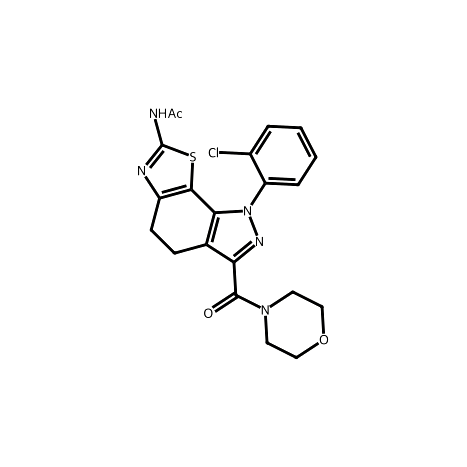 CC(=O)Nc1nc2c(s1)-c1c(c(C(=O)N3CCOCC3)nn1-c1ccccc1Cl)CC2